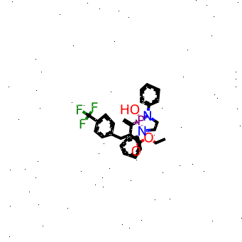 C=C(C(Cc1ccc(C(F)(F)F)cc1)C(=O)OCC)[P]1(O)N(c2ccccc2)CCN1c1ccccc1